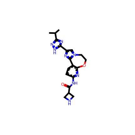 CC(C)c1n[nH]c(-c2cn3c(n2)-c2ccc(NC(=O)C4CNC4)nc2OCC3)n1